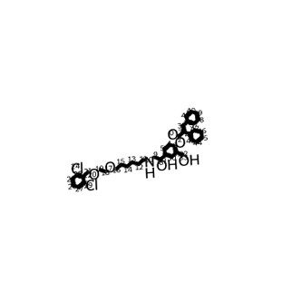 O=C(Oc1ccc([C@@H](O)CNCCCCCCOCCOCc2c(Cl)cccc2Cl)cc1CO)C(=Cc1ccccc1)c1ccccc1